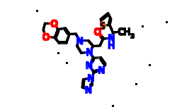 CC(NC(=O)CC1CN(Cc2ccc3c(c2)OCCO3)CCN1c1ccnc(-n2ccnc2)n1)c1cccs1